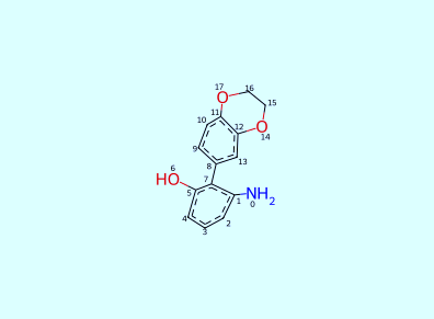 Nc1cccc(O)c1-c1ccc2c(c1)OCCO2